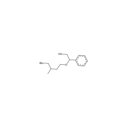 CC(CCOC(CO)c1ccccc1)CC(C)(C)C